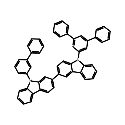 c1ccc(-c2cccc(-n3c4ccccc4c4ccc(-c5ccc6c(c5)c5ccccc5n6-c5cc(-c6ccccc6)cc(-c6ccccc6)n5)cc43)c2)cc1